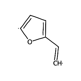 [CH]=Cc1cc[c]o1